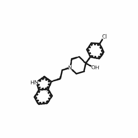 OC1(c2ccc(Cl)cc2)CCN(CCc2c[nH]c3ccccc23)CC1